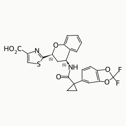 O=C(O)c1csc([C@@H]2C[C@H](NC(=O)C3(c4ccc5c(c4)OC(F)(F)O5)CC3)c3ccccc3O2)n1